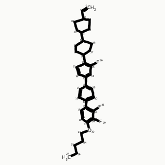 C=CC1CCC(C2CCC(c3ccc(-c4ccc(-c5ccc(OCCCCC)c(F)c5F)cc4)cc3F)CC2)CC1